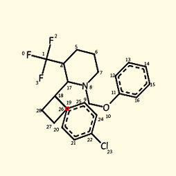 FC(F)(F)C1CCCN(COc2ccccc2)C1C1(c2ccc(Cl)cc2)CCC1